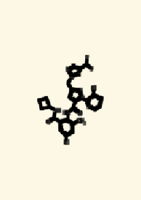 Cc1cc(Cl)cc(C(=O)NC2CCC2)c1NC(=O)c1cc(Cn2nnc(C(F)F)n2)nn1-c1ncccc1Cl